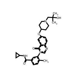 Cc1ccc(C(=O)NC2CC2)cc1-n1cnc2ccc(OC3CCN(CC(C)(C)O)CC3)cc2c1=O